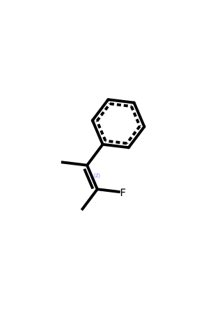 C/C(F)=C(\C)c1ccccc1